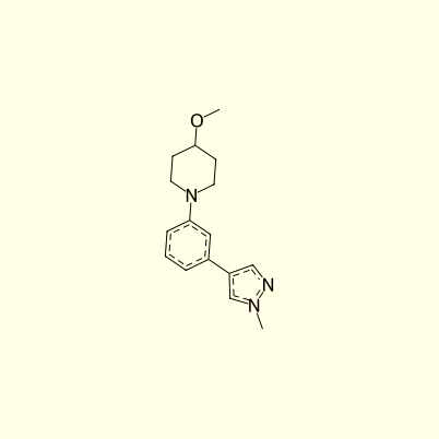 COC1CCN(c2cccc(-c3cnn(C)c3)c2)CC1